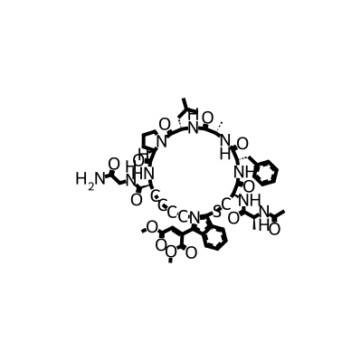 COC(=O)/C=C(\C(=O)OC)c1c2ccccc2c2n1CCCC[C@@H](C(=O)NCC(N)=O)NC(=O)[C@@H]1CCCN1C(=O)[C@H](CC(C)C)NC(=O)[C@H](C)NC(=O)[C@H](Cc1ccccc1)NC(=O)[C@@H](NC(=O)[C@H](C)NC(C)=O)CS2